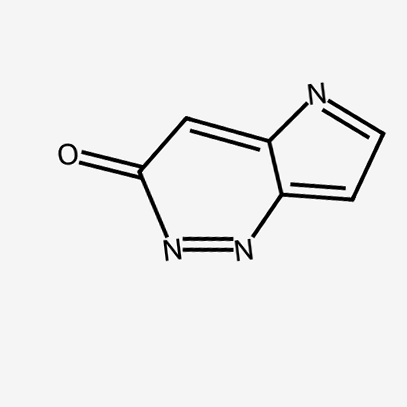 O=C1C=C2N=CC=C2N=N1